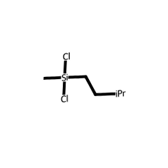 CC(C)CC[Si](C)(Cl)Cl